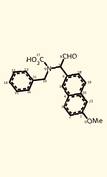 COc1ccc2cc(C([C]=O)N(Cc3ccccc3)C(=O)O)ccc2c1